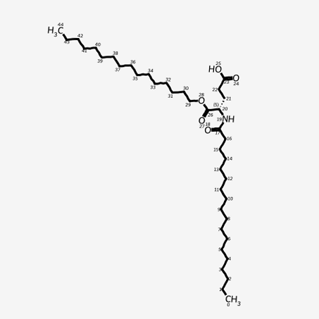 CCCCCCCCCCCCCCCCCC(=O)N[C@@H](CCC(=O)O)C(=O)OCCCCCCCCCCCCCCCC